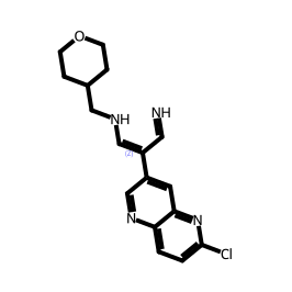 N=C/C(=C\NCC1CCOCC1)c1cnc2ccc(Cl)nc2c1